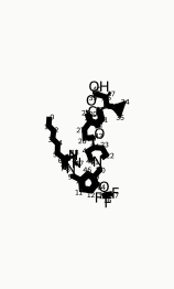 CCCCCCc1cn(Cc2ccc(OC(F)(F)F)c(CN3CCC([C@H]4CCc5ccc([C@H](C6CC6)[C@H](C)C(=O)O)cc5O4)CC3)c2)nn1